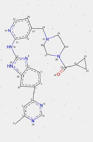 Cc1cc(-c2ccc3nc(Nc4cc(CN5CCN(C(=O)C6CC6)CC5)ccn4)[nH]c3c2)ncn1